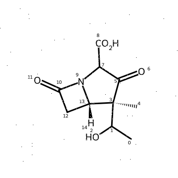 CC(O)[C@]1(C)C(=O)C(C(=O)O)N2C(=O)C[C@H]21